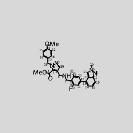 COC(=O)c1c(CNCc2c(F)cc(-c3cccc4nn(C)cc34)cc2F)cnn1Cc1ccc(OC)cc1